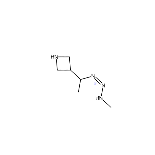 CN/N=N\C(C)C1CNC1